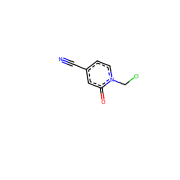 N#Cc1ccn(CCl)c(=O)c1